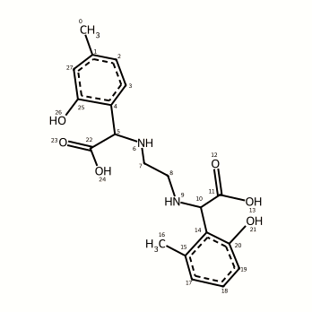 Cc1ccc(C(NCCNC(C(=O)O)c2c(C)cccc2O)C(=O)O)c(O)c1